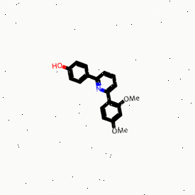 COc1ccc(-c2cccc(-c3ccc(O)cc3)n2)c(OC)c1